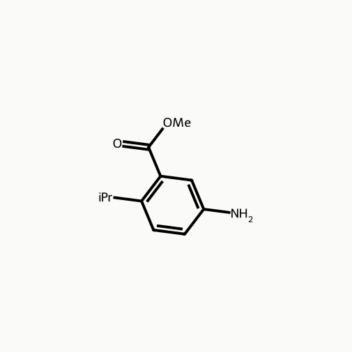 COC(=O)c1cc(N)ccc1C(C)C